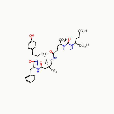 CC(C)(CCNC(=O)CC[C@H](NC(=O)N[C@@H](CCC(=O)O)C(=O)O)C(=O)O)CC(=O)N[C@@H](Cc1ccccc1)C(=O)N[C@@H](Cc1ccc(O)cc1)C(=O)O